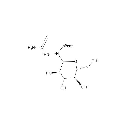 CCCCCN(NC(N)=S)C1O[C@H](CO)[C@@H](O)[C@H](O)[C@H]1O